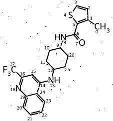 Cc1ccsc1C(=O)NC1CCC(Nc2cc(C(F)(F)F)nc3ccccc23)CC1